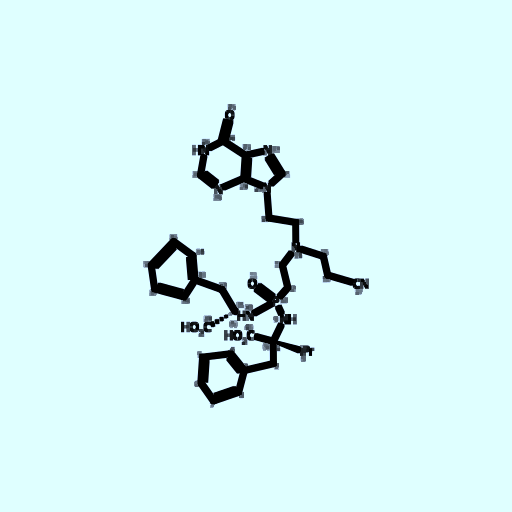 CC(C)[C@](Cc1ccccc1)(NP(=O)(CCN(CCC#N)CCn1cnc2c(=O)[nH]cnc21)N[C@@H](Cc1ccccc1)C(=O)O)C(=O)O